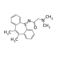 CC1=C(C)c2ccccc2S(=NC(=O)CN(C)C)c2ccccc21